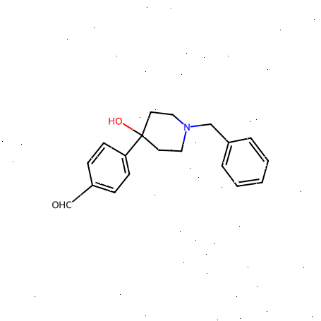 O=Cc1ccc(C2(O)CCN(Cc3ccccc3)CC2)cc1